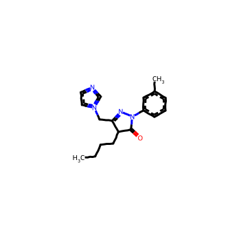 CCCCC1C(=O)N(c2cccc(C)c2)N=C1Cn1ccnc1